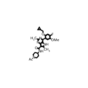 COc1cc(-c2nc(C)nc3c(C(=O)NC4CCN(C(C)=O)CC4)c(C)[nH]c23)c(OCC2CC2)cc1F